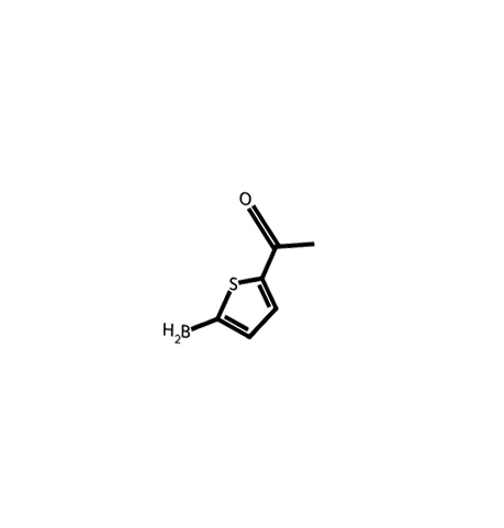 Bc1ccc(C(C)=O)s1